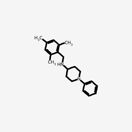 Cc1cc(C)c(CNC2CCN(c3[c]cccc3)CC2)c(C)c1